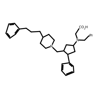 CC(C)CN(CC(=O)O)C1CC(CN2CCC(CCCc3ccccc3)CC2)C(c2ccccc2)C1